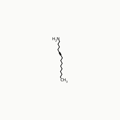 CCCCCCCCCC#CCCCCN